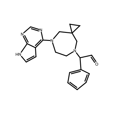 O=CC(c1ccccc1)N1CCN(c2ncnc3[nH]ccc23)CC2(CC2)C1